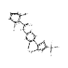 C=C(Nc1cc(F)c(-c2cc(C(F)(F)F)nn2C)cn1)c1c(F)cccc1F